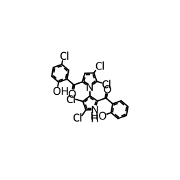 O=C(c1ccccc1O)c1[nH]c(Cl)c(Cl)c1-n1c(C(=O)c2cc(Cl)ccc2O)cc(Cl)c1Cl